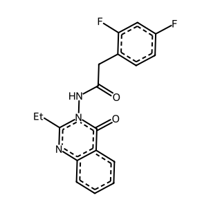 CCc1nc2ccccc2c(=O)n1NC(=O)Cc1ccc(F)cc1F